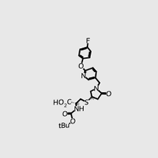 CC(C)(C)OC(=O)N[C@@H](CS[C@@H]1CC(=O)N(Cc2ccc(Oc3ccc(F)cc3)nc2)C1)C(=O)O